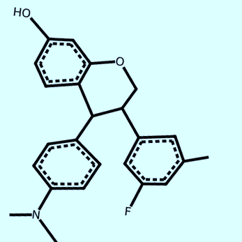 Cc1cc(F)cc(C2COc3cc(O)ccc3C2c2ccc(N(C)C)cc2)c1